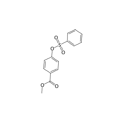 COC(=O)c1ccc(OS(=O)(=O)c2ccccc2)cc1